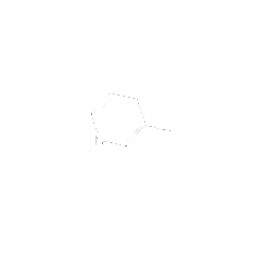 CC1=CN(C)C=CC1